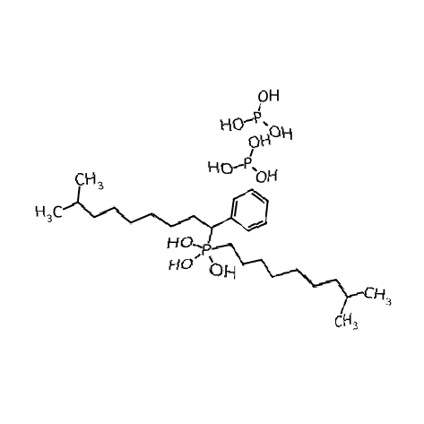 CC(C)CCCCCCCP(O)(O)(O)C(CCCCCCC(C)C)c1ccccc1.OP(O)O.OP(O)O